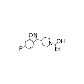 CCC(O)N1CCC(c2noc3cc(F)ccc23)CC1